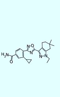 CCn1nc(-c2nc(-c3ccc(C(N)=O)cc3C3CC3)no2)c2c1CC(C)(C)CC2